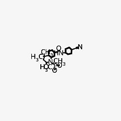 CC1(C)CC(=O)N(C(C)(C)P(=O)=O)c2cc(C(=O)Nc3ccc(C#N)cc3)ccc21